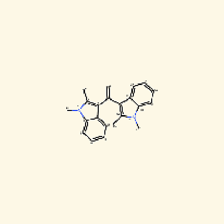 C=C(c1c(C)n(C)c2ccccc12)c1c(C)n(C)c2ccccc12